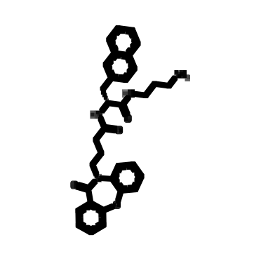 NCCCNC(=O)[C@@H](Cc1ccc2ccccc2c1)NC(=O)CCCN1C(=O)c2ccccc2Oc2ccccc21